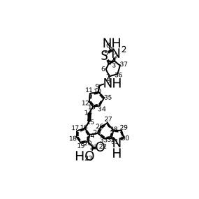 Nc1nc2c(s1)CC(NCc1ccc(C#Cc3cccc(C(=O)O)c3-c3ccc4cc[nH]c4c3)cc1)CC2